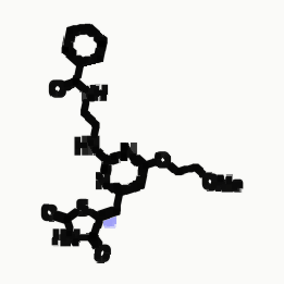 COCCOc1cc(/C=C2\SC(=O)NC2=O)nc(NCCNC(=O)c2ccccc2)n1